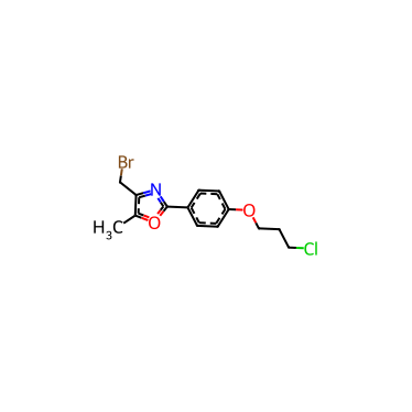 Cc1oc(-c2ccc(OCCCCl)cc2)nc1CBr